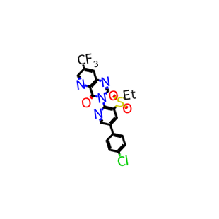 CCS(=O)(=O)c1cc(-c2ccc(Cl)cc2)cnc1-n1cnc2cc(C(F)(F)F)cnc2c1=O